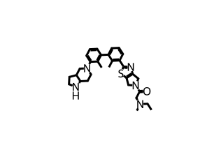 CCN(C)CC(=O)N1Cc2nc(-c3cccc(-c4cccc(N5CCC6NCCC6C5)c4C)c3C)sc2C1